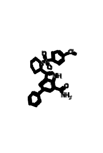 COc1ccc(S(=O)(=O)N2CCCCC2c2c[nH]c3c(C(N)=O)cc(-c4ccccc4)cc23)cc1